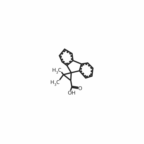 CC1(C)C(C(=O)O)C12c1ccccc1-c1ccccc12